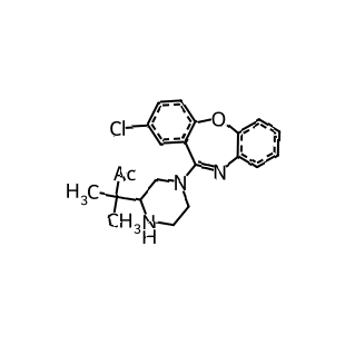 CC(=O)C(C)(C)C1CN(C2=Nc3ccccc3Oc3ccc(Cl)cc32)CCN1